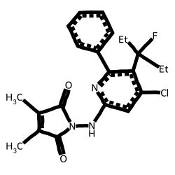 CCC(F)(CC)c1c(Cl)cc(NN2C(=O)C(C)=C(C)C2=O)nc1-c1ccccc1